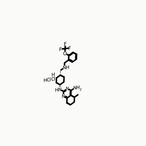 CC1CCCc2nc(N[C@H]3CC[C@@H](CNCc4ccccc4OC(F)(F)F)CC3)nc(N)c21.Cl.Cl